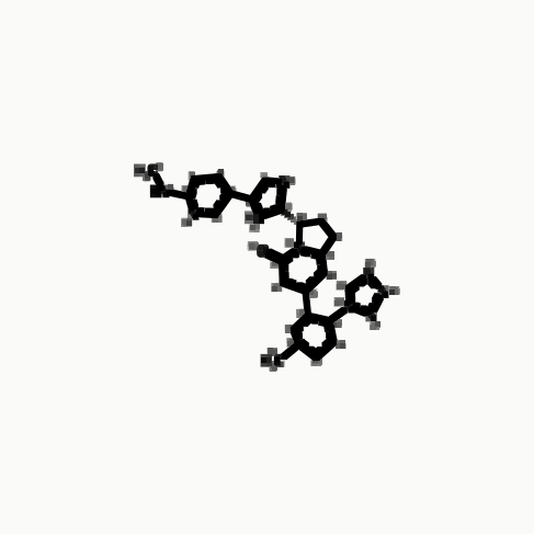 CNc1ccc(-c2cnc([C@@H]3CCc4cc(-c5cc(C)ccc5-n5cnnn5)cc(=O)n43)[nH]2)cn1